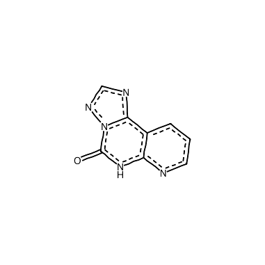 O=c1[nH]c2ncccc2c2ncnn12